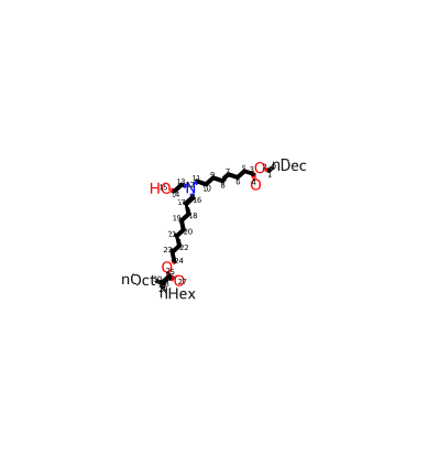 CCCCCCCCCCCOC(=O)CCCCCCCN(CCO)CCCCCCCCCOC(=O)C(CCCCCC)CCCCCCCC